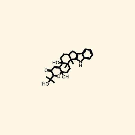 CC(C)(O)C1OC2(O)CCC3(C)C(O)(CCC4Cc5c([nH]c6ccccc56)C43C)C2=CC1=O